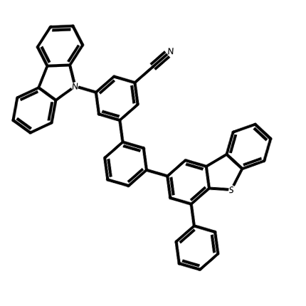 N#Cc1cc(-c2cccc(-c3cc(-c4ccccc4)c4sc5ccccc5c4c3)c2)cc(-n2c3ccccc3c3ccccc32)c1